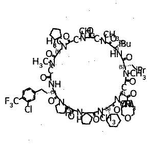 CC[C@H](C)[C@@H]1NC(=O)[C@H](CC(C)C)N(C)C(=O)C[C@@H](C(=O)N2C3CCC2COC3)N(C)C(=O)[C@H](C2CCCCC2)N(C)C(=O)C2(CCCC2)NC(=O)[C@@H]2CCCN2C(=O)[C@H](CCc2ccc(C(F)(F)F)c(Cl)c2)NC(=O)CN(C)C(=O)[C@H](CC2CCCC2)N(C)C(=O)CN(C)C(=O)CN(C)C1=O